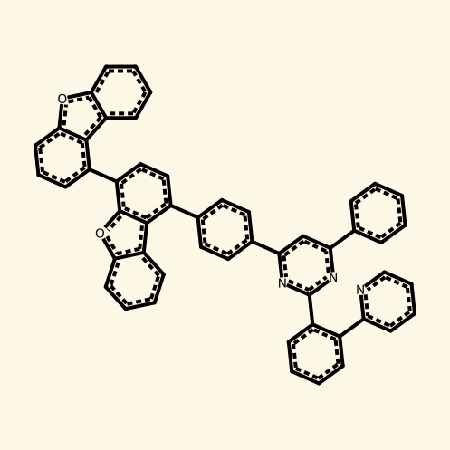 c1ccc(-c2cc(-c3ccc(-c4ccc(-c5cccc6oc7ccccc7c56)c5oc6ccccc6c45)cc3)nc(-c3ccccc3-c3ccccn3)n2)cc1